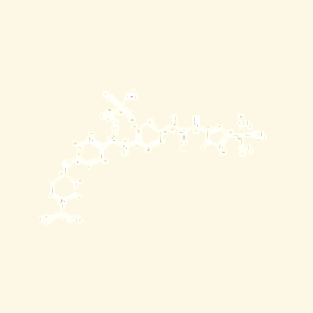 CC(C)N1CCC(Oc2ccc(C(=O)Nc3ccc(NC(=O)Nc4cc(C(C)(C)C)no4)cc3)nc2)CC1.CS(=O)(=O)O